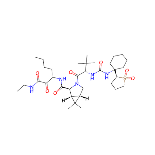 CCCC[C@H](NC(=O)[C@@H]1[C@@H]2[C@H](CN1C(=O)[C@@H](NC(=O)NC1([C@@H]3CCCS3(=O)=O)CCCCC1)C(C)(C)C)C2(C)C)C(=O)C(=O)NCC